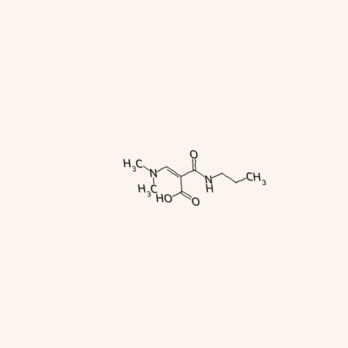 CCCNC(=O)C(=CN(C)C)C(=O)O